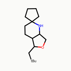 CC(C)(C)CC1OCC2NC3(CCCC3)CCC21